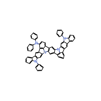 c1ccc(N(c2ccccc2)c2ccc3c4cc5c(cc4n4c6cc7c(cc6c2c34)c2ccccc2n7-c2ccccc2)c2cccc3c4cc6c7ccccc7n(-c7ccccc7)c6cc4n5c23)cc1